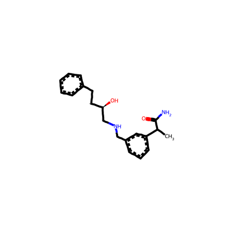 CC(C(N)=O)c1cccc(CNC[C@H](O)[CH]Cc2ccccc2)c1